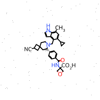 Cc1cc(C2CC2)c(CN2CCC3(CC(C#N)C3)C[C@H]2c2ccc(C(=O)NC3(C(=O)O)COC3)cc2)c2cc[nH]c12